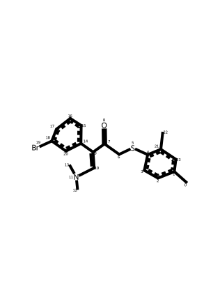 Cc1ccc(SCC(=O)C(=CN(C)C)c2cccc(Br)c2)c(C)c1